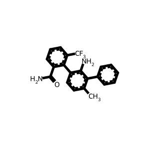 Cc1ccc(-c2c(C(N)=O)cccc2C(F)(F)F)c(N)c1-c1ccccc1